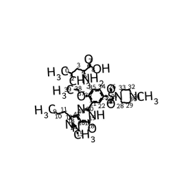 CC(C)C[C@H](N)C(=O)O.CCCc1nn(C)c2c(=O)[nH]c(-c3cc(S(=O)(=O)N4CCN(C)CC4)ccc3OCC)nc12